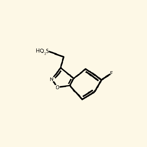 O=S(=O)(O)Cc1noc2ccc(F)cc12